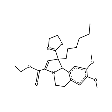 CCCCCCC1(C2=NCCS2)C=C(C(=O)OCC)N2CCc3cc(OC)c(OC)cc3C21